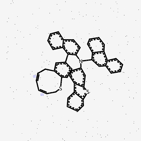 C1=C\CSc2ccc(-c3c(N(c4ccc5c(c4)sc4ccccc45)c4cc5ccccc5c5ccccc45)ccc4ccccc34)cc2C\C=C/1